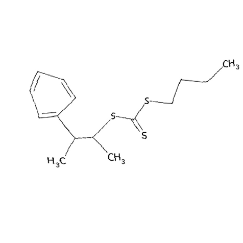 CCCCSC(=S)SC(C)C(C)c1ccccc1